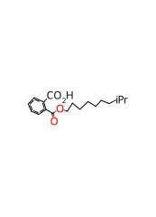 CC(C)CCCCCCCOC(=O)c1ccccc1C(=O)O